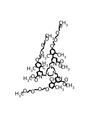 COCCOCCOCCOc1cc(C)c(-c2cc(CN3CCN(Cc4cc(-c5c(C)cc(OCCOCCOCCOC)cc5C)cc(C(=O)OC)n4)CCN(Cc4cc(-c5c(C)cc(OCCOCCOCCOC)cc5C)cc(C(=O)OC)n4)CC3)nc(C(=O)OC)c2)c(C)c1